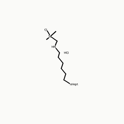 CCCCCCCCCCCCCNC[Si](C)(C)Cl.Cl